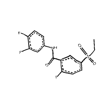 CCS(=O)(=O)c1ccc(F)c(C(=O)Nc2ccc(F)c(F)c2)c1